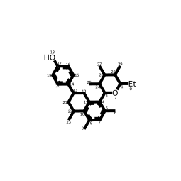 CCC1OC(c2c(C)cc(C)c3c2CC(c2ccc(O)cc2)CC3C)C(C)C(C)C1C